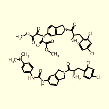 CN(C)c1ccc(NC(=O)Nc2ccc3c(c2)CN(C(=O)C(N)Cc2ccc(Cl)cc2Cl)C3)cc1.COC(=O)C(=O)N(C(=O)C(=O)OC)c1ccc2c(c1)CN(C(=O)C(N)Cc1ccc(Cl)cc1Cl)C2